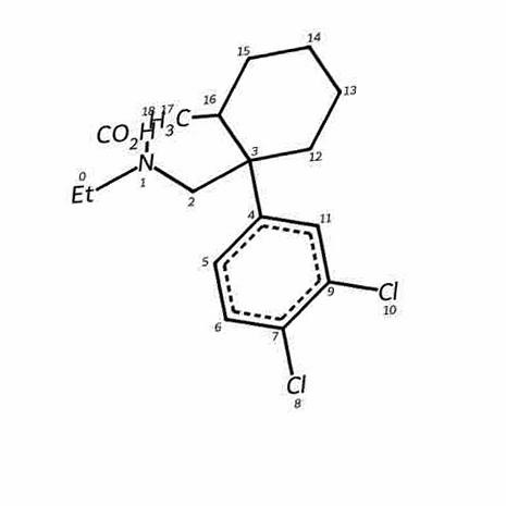 CCN(CC1(c2ccc(Cl)c(Cl)c2)CCCCC1C)C(=O)O